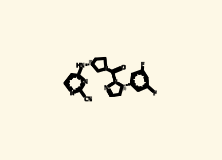 N#Cc1nccc(N[C@@H]2CCN(C(=O)N3N=CC[C@H]3c3cc(F)cc(F)c3)C2)n1